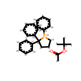 CC(=O)OC(C)(C)C.c1ccc(P2CCCC2(c2ccccc2)c2ccccc2)cc1